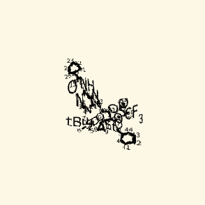 CC[C@]1(C2(O[Si](C)(C)C(C)(C)C)CC2)O[C@@H](n2cnc3c(NC(=O)c4ccccc4)ncnc32)C(OS(=O)(=O)C(F)(F)F)C1OCc1ccccc1